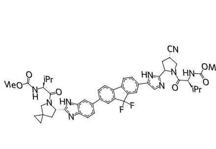 COC(=O)N[C@H](C(=O)N1C[C@@H](C#N)CC1c1ncc(-c2ccc3c(c2)C(F)(F)c2cc(-c4ccc5nc([C@@H]6CC7(CC7)CN6C(=O)[C@@H](NC(=O)OC)C(C)C)[nH]c5c4)ccc2-3)[nH]1)C(C)C